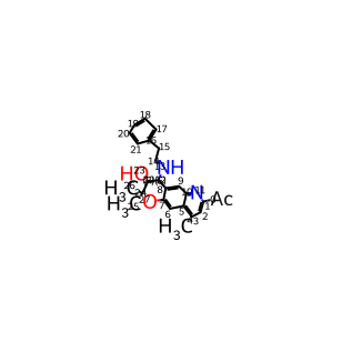 CC(=O)c1cc(C)c2cc3c(cc2n1)[C@H](NCCc1ccccc1)[C@@H](O)C(C)(C)O3